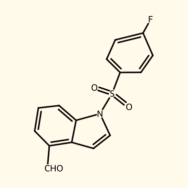 O=Cc1cccc2c1ccn2S(=O)(=O)c1ccc(F)cc1